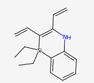 C=CC1=C(C=C)[Si](CC)(CC)c2ccccc2N1